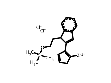 C[Si](C)(C)OCCC1C(C2=[C]([Zr+2])CC=C2)=Cc2ccccc21.[Cl-].[Cl-]